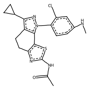 CNc1ccc(-n2nc(C3CC3)c3c2-c2sc(NC(C)=O)nc2CC3)c(Cl)c1